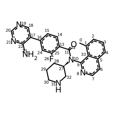 Cc1cccc2ccnc(N(C(=O)c3ccc(-c4cncnc4N)cc3F)[C@@H]3CCCNC3)c12